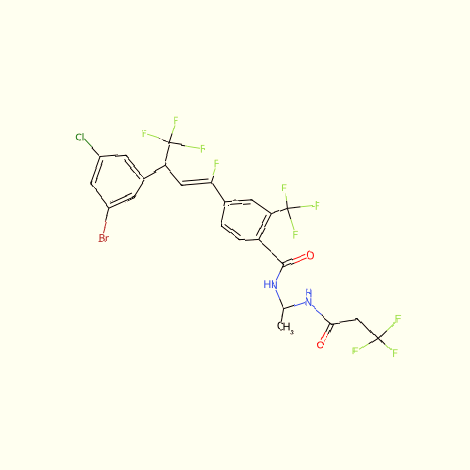 CC(NC(=O)CC(F)(F)F)NC(=O)c1ccc(/C(F)=C/C(c2cc(Cl)cc(Br)c2)C(F)(F)F)cc1C(F)(F)F